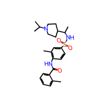 Cc1cc(S(=O)(=O)NC(C)C2CCN(C(C)C)CC2)ccc1NC(=O)c1ccccc1C